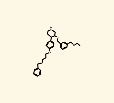 CCOCc1cccc(COC2CNCCC2c2ccc(OCCCOCc3ccccc3)cc2)c1